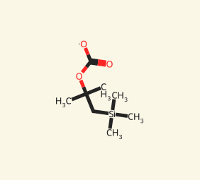 CC(C)(C[Si](C)(C)C)OC([O])=O